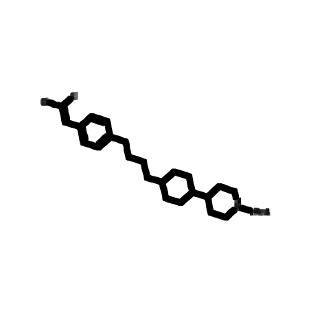 CCCCC[SiH]1CCC(C2CCC(CCCCc3ccc(C=C(Cl)Cl)cc3)CC2)CC1